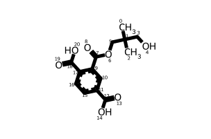 CC(C)(CO)COC(=O)c1cc(C(=O)O)ccc1C(=O)O